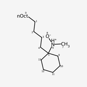 CCCCCCCCCCCCC1([NH+](C)[O-])CCCCC1